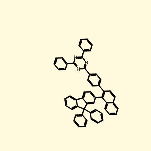 c1ccc(-c2nc(-c3ccccc3)nc(-c3ccc(-c4ccc5ccccc5c4-c4ccc5c(c4)C(c4ccccc4)(c4ccccc4)c4ccccc4-5)cc3)n2)cc1